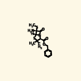 CS[C@]1(N)C(=O)N2[C@@H](C(=O)OCc3ccccc3)C(C)(C)S[C@@H]21